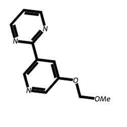 COCOc1cncc(-c2ncccn2)c1